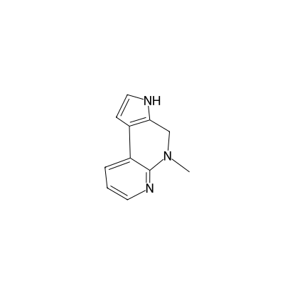 CN1Cc2[nH]ccc2-c2cccnc21